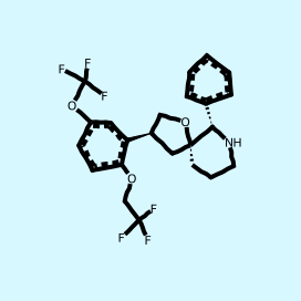 FC(F)(F)COc1ccc(OC(F)(F)F)cc1[C@H]1CO[C@]2(CCCN[C@H]2c2ccccc2)C1